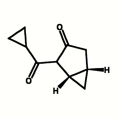 O=C1C[C@@H]2C[C@@H]2C1C(=O)C1CC1